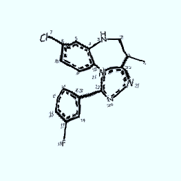 CC1CNc2cc(Cl)ccc2-n2c(-c3cccc(F)c3)nnc21